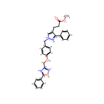 COC(=O)CCc1cn(Cc2ccc(OCc3noc(-c4ccccc4)n3)cc2)nc1-c1ccccc1